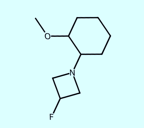 COC1CCCCC1N1CC(F)C1